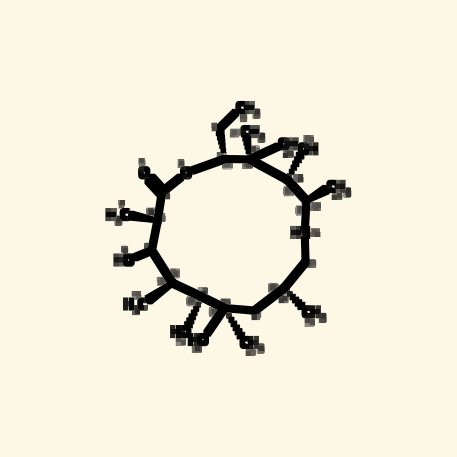 CC[C@H]1OC(=O)[C@H](C)C(O)[C@H](C)[C@@H](O)[C@](C)(O)C[C@@H](C)CN[C@H](C)[C@@H](O)[C@]1(C)O